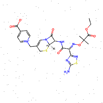 CCOC(=O)C(C)(C)ON=C(C(=O)NC1C(=O)N2C=C(C[n+]3ccc(C(=O)[O-])cc3)CS[C@H]12)c1nsc(N)n1